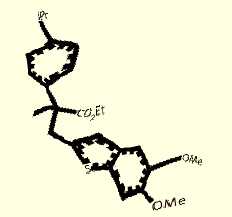 CCOC(=O)C(C)(Cc1cc2cc(OC)c(OC)cc2s1)c1ccc(C(C)C)cc1